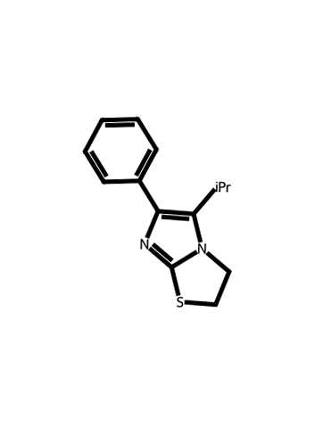 CC(C)c1c(-c2ccccc2)nc2n1CCS2